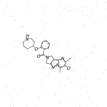 Cc1nc2c3c(nn2c(C)c1Cl)CN(C(=O)c1ccccc1OC1CCCNCC1)C3